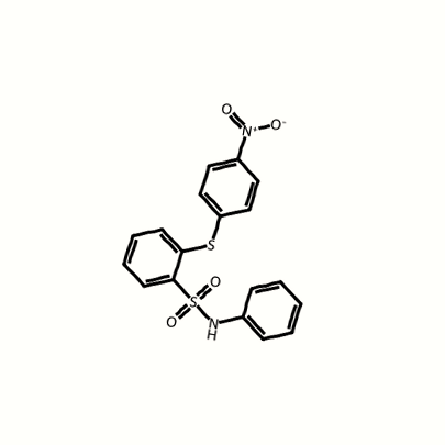 O=[N+]([O-])c1ccc(Sc2ccccc2S(=O)(=O)Nc2ccccc2)cc1